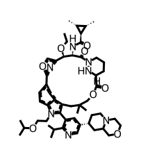 CCO[C@@H]1c2coc(n2)-c2ccc3c(c2)c(c(-c2cc([C@@H]4CCN5CCOCC5C4)cnc2C(C)C)n3CCOC(C)C)CC(C)(C)COC(=O)[C@@H]2CCCN(N2)C(=O)[C@H]1NC(=O)[C@H]1[C@H](C)[C@@H]1C